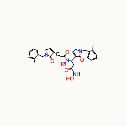 Cc1ccccc1CN1CC=C(CCC(=O)N(O)C(CC(=O)NO)C2=CCN(Cc3ccccc3C)C2=O)C1=O